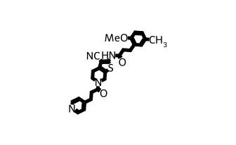 COc1ccc(C)cc1CCC(=O)Nc1sc2c(c1C#N)CCN(C(=O)CCc1ccncc1)C2